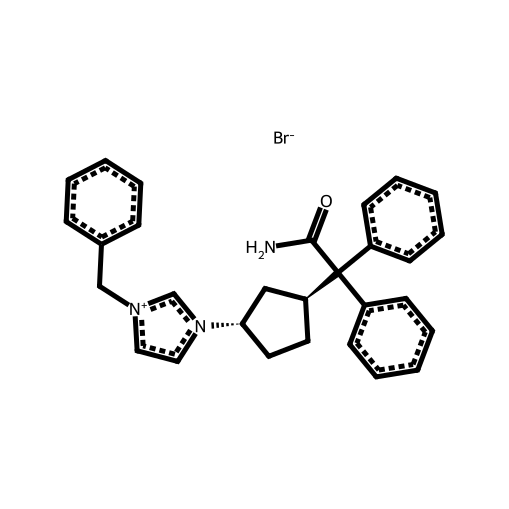 NC(=O)C(c1ccccc1)(c1ccccc1)[C@H]1CC[C@H](n2cc[n+](Cc3ccccc3)c2)C1.[Br-]